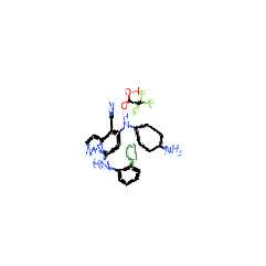 N#Cc1c(NC2CCC(N)CC2)cc(Nc2ccccc2Cl)n2nccc12.O=C(O)C(F)(F)F